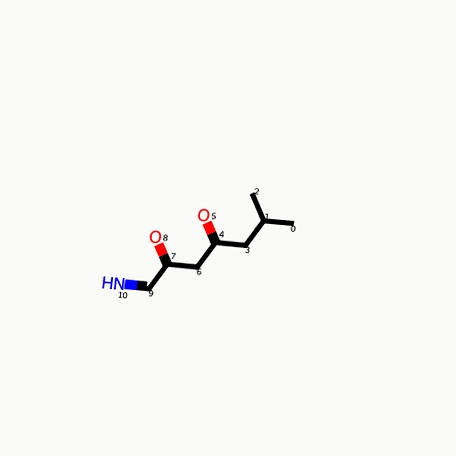 CC(C)CC(=O)CC(=O)C=N